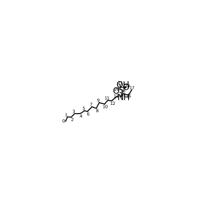 CCCCCCCCCCCCCCNC(CC)S(=O)(=O)O